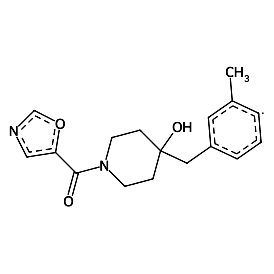 Cc1[c]ccc(CC2(O)CCN(C(=O)c3cnco3)CC2)c1